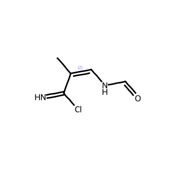 C/C(=C/NC=O)C(=N)Cl